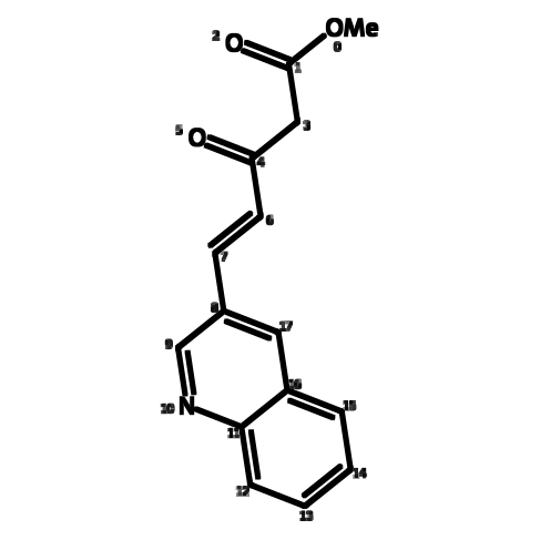 COC(=O)CC(=O)C=Cc1cnc2ccccc2c1